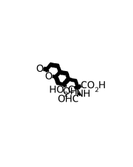 O=CNC(Cc1cc2ccc(=O)oc2cc1O)(C(=O)O)C(=O)O